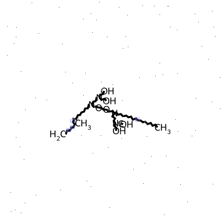 C=C/C=C/C=C/C(C)/C=C\CCCCCCCCN(CCCN(CCO)CCO)CCOCCOCCN(CCCCCCCC/C=C/CCCCCCCC)CCCN(CCO)CCO